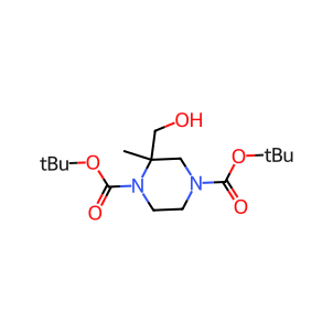 CC(C)(C)OC(=O)N1CCN(C(=O)OC(C)(C)C)C(C)(CO)C1